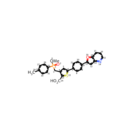 COP(=O)(Cc1cc(-c2ccc(-c3cc4ncccc4o3)cc2)sc1C(=O)O)c1ccc(C)cc1